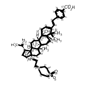 C=C(C)[C@@H]1CC[C@]2(NCCN3CCS(=O)(=O)CC3)CC[C@]3(C)[C@H](CC[C@@H]4[C@@]5(C)CC=C(/C=C/c6ccc(C(=O)O)cc6)C(C)(C)[C@@H]5CC[C@]43C)[C@@H]12